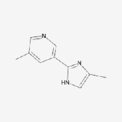 Cc1cncc(-c2nc(C)c[nH]2)c1